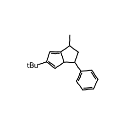 CC1CC(c2ccccc2)C2C=C(C(C)(C)C)C=C12